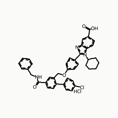 Cl.O=C(O)c1ccc2c(c1)nc(-c1ccc(OCc3cc(C(=O)NCc4ccccc4)ccc3-c3ccc(Cl)cc3)cc1)n2C1CCCCC1